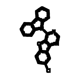 Clc1ccc2oc3c(-n4c5ccccc5c5ccccc54)ncnc3c2c1